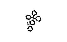 c1ccc(N=Nc2ccccc2C(c2ccccc2)(c2ccccc2)c2ccccc2)cc1